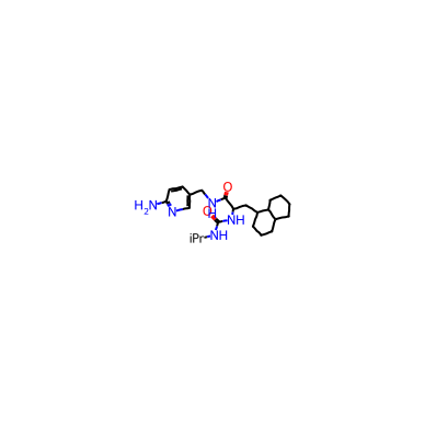 CC(C)NC(=O)NC(CC1CCCC2CCCCC21)C(=O)NCc1ccc(N)nc1